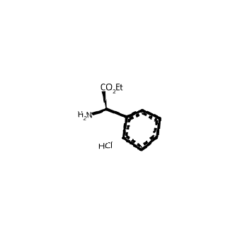 CCOC(=O)[C@H](N)c1ccccc1.Cl